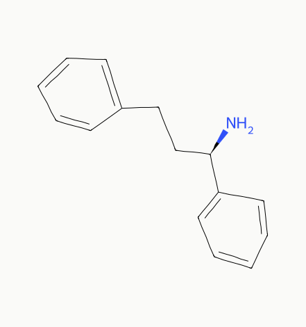 N[C@H](CCc1ccccc1)c1ccccc1